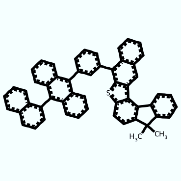 CC1(C)c2ccccc2-c2c1ccc1sc3c(-c4cccc(-c5c6ccccc6c(-c6cccc7ccccc67)c6ccccc56)c4)c4ccccc4cc3c21